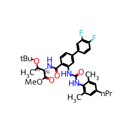 CCCc1cc(C)c(NC(=O)Nc2cc(-c3ccc(F)c(F)c3)ccc2C(=O)N[C@H](C(=O)OC)[C@@H](C)OC(C)(C)C)c(C)c1